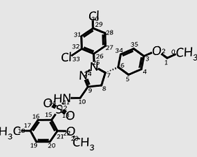 CCOC1=CCC([C@@H]2CC(CNS(=O)(=O)c3cc(C)ccc3OC)=NN2c2ccc(Cl)cc2Cl)C=C1